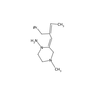 C/C=C(\C=C1\CN(C)CCN1N)CC(C)C